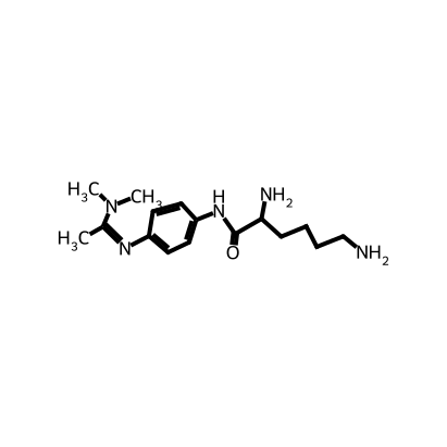 CC(=Nc1ccc(NC(=O)C(N)CCCCN)cc1)N(C)C